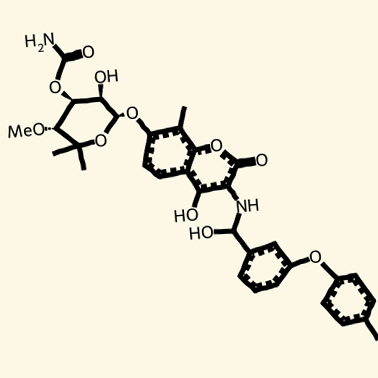 CO[C@@H]1[C@@H](OC(N)=O)[C@@H](O)[C@H](Oc2ccc3c(O)c(NC(O)c4cccc(Oc5ccc(C)cc5)c4)c(=O)oc3c2C)OC1(C)C